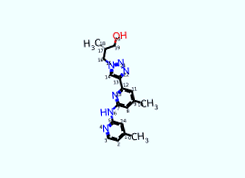 Cc1ccnc(Nc2cc(C)cc(-c3cn(C[C@H](C)CO)nn3)n2)c1